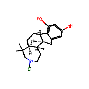 CC1(C)CN(Cl)CC[C@]2(C)[C@@H]1CC[C@]1(C)c3c(O)cc(O)cc3C[C@@H]21